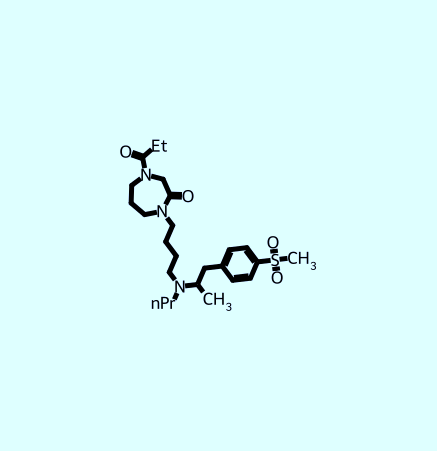 CCCN(CCCCN1CCCN(C(=O)CC)CC1=O)C(C)Cc1ccc(S(C)(=O)=O)cc1